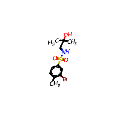 Cc1ccc(S(=O)(=O)NCC(C)(C)O)cc1Br